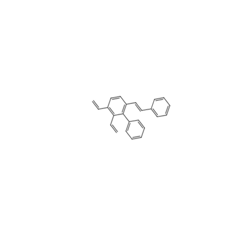 C=Cc1ccc(C=Cc2ccccc2)c(-c2ccccc2)c1C=C